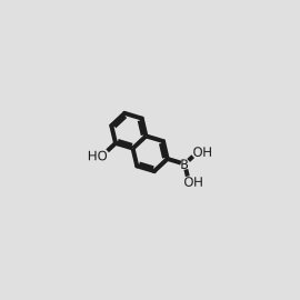 OB(O)c1ccc2c(O)cccc2c1